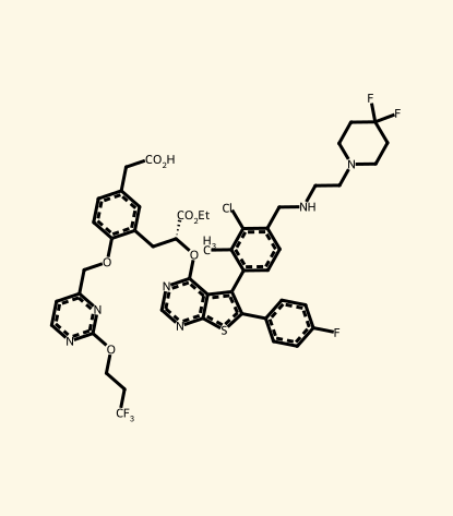 CCOC(=O)[C@@H](Cc1cc(CC(=O)O)ccc1OCc1ccnc(OCCC(F)(F)F)n1)Oc1ncnc2sc(-c3ccc(F)cc3)c(-c3ccc(CNCCN4CCC(F)(F)CC4)c(Cl)c3C)c12